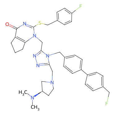 CN(C)[C@@H]1CCN(Cc2nnc(Cn3c(SCc4ccc(F)cc4)nc(=O)c4c3CCC4)n2Cc2ccc(-c3ccc(CF)cc3)cc2)C1